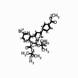 COC(=O)c1ccc(-c2cc(-c3nc(Br)cnc3N(C(=O)OC(C)(C)C)C(=O)OC(C)(C)C)on2)cc1